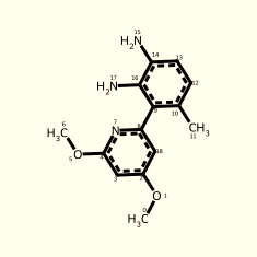 COc1cc(OC)nc(-c2c(C)ccc(N)c2N)c1